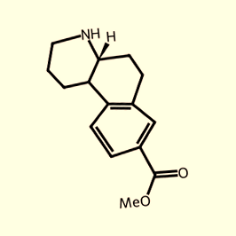 COC(=O)c1ccc2c(c1)CC[C@H]1NCCCC21